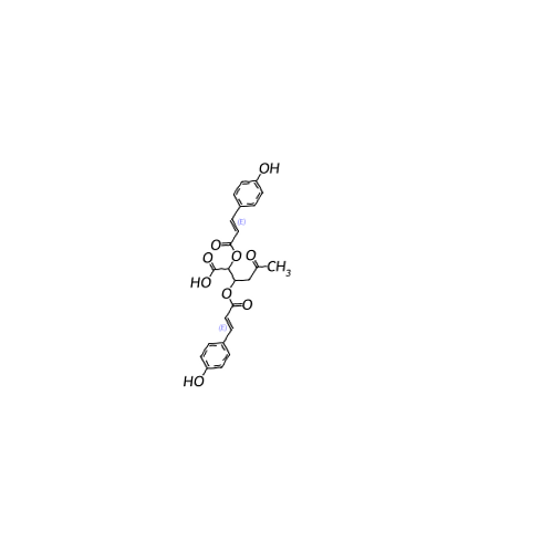 CC(=O)CC(OC(=O)/C=C/c1ccc(O)cc1)C(OC(=O)/C=C/c1ccc(O)cc1)C(=O)O